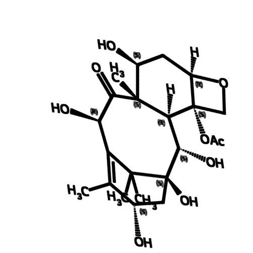 CC(=O)O[C@@]12CO[C@@H]1C[C@H](O)[C@@]1(C)C(=O)[C@H](O)C3=C(C)[C@@H](O)C[C@@](O)([C@@H](O)[C@H]21)C3(C)C